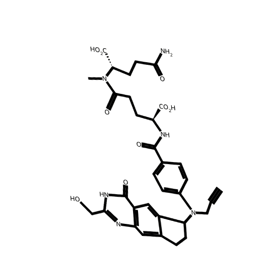 C#CCN(c1ccc(C(=O)N[C@@H](CCC(=O)N(C)[C@@H](CCC(N)=O)C(=O)O)C(=O)O)cc1)C1CCc2cc3nc(CO)[nH]c(=O)c3cc21